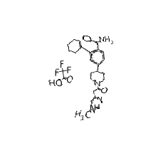 Cn1cnc(CC(=O)N2CCC(c3ccc(C(N)=O)c(C4=CCCCC4)c3)CC2)c1.O=C(O)C(F)(F)F